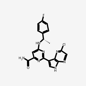 C[C@H](Nc1cc(C(N)=O)nc(-c2c[nH]c3ncc(Cl)nc23)n1)c1ccc(F)cc1